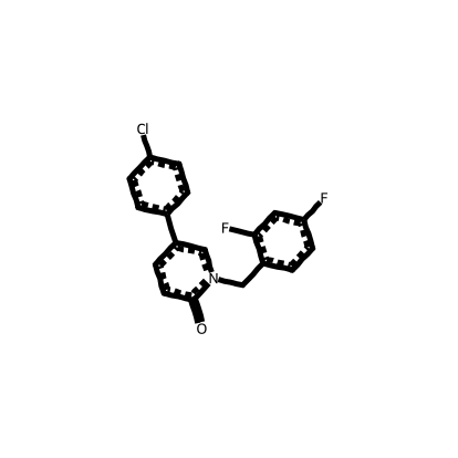 O=c1ccc(-c2ccc(Cl)cc2)cn1Cc1ccc(F)cc1F